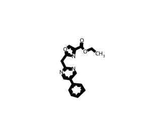 CCOC(=O)c1coc(Cc2ncc(-c3ccccc3)cn2)n1